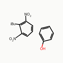 CCC(C)c1c([N+](=O)[O-])cccc1[N+](=O)[O-].Oc1ccccc1